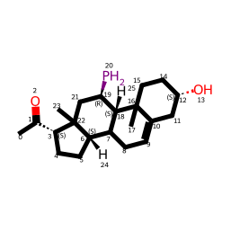 CC(=O)[C@H]1CC[C@H]2C3CC=C4C[C@@H](O)CCC4(C)[C@H]3[C@H](P)CC12C